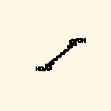 OCC1CSC(CSCCCCCCCCSCC2SCC(CO)S2)S1